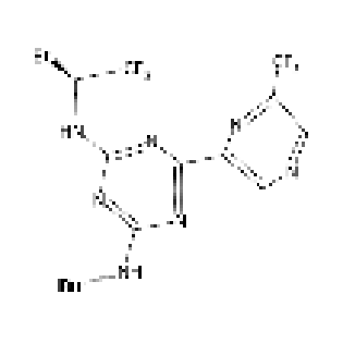 CC[C@@H](C)Nc1nc(N[C@@H](CC)C(F)(F)F)nc(-c2cncc(C(F)(F)F)n2)n1